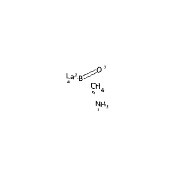 C.N.[B]=O.[La]